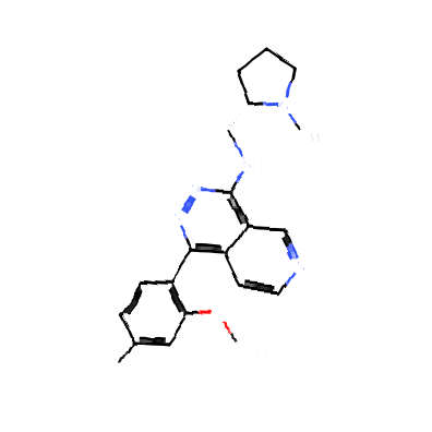 CN1CCC[C@H]1CNc1nnc(-c2ccc(C(F)(F)F)cc2OC=O)c2ccncc12